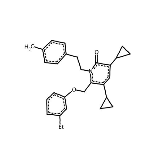 CCc1cccc(OCc2c(C3CC3)cc(C3CC3)c(=O)n2CCc2ccc(C)cc2)c1